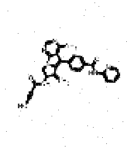 C=C1c2c(-c3ccc(C(=O)Nc4ccccn4)cc3)c3c(N)ncnc3n2CC1NC(=O)C#CO